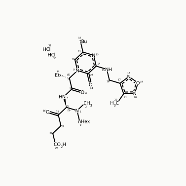 CCCCCCN(C)[C@H](NC(=O)[C@H](CC)n1cc(C(C)(C)C)nc(NCc2nonc2C)c1=O)C(=O)CCC(=O)O.Cl.Cl